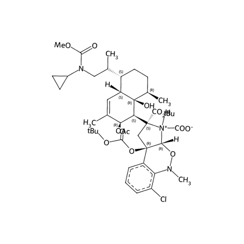 COC(=O)N(CC(C)[C@@H]1CC[C@@H](C)[C@@]2(O)[C@@H]1C=C(C)[C@H](OC(C)=O)[C@@H]2[C@]1(C(=O)O)C[C@@]2(OC(=O)OC(C)(C)C)c3cccc(Cl)c3N(C)O[C@H]2[N+]1(C(=O)[O-])C(C)(C)C)C1CC1